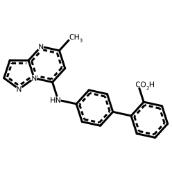 Cc1cc(Nc2ccc(-c3ccccc3C(=O)O)cc2)n2nccc2n1